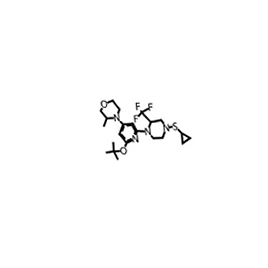 CC1COCCN1c1cc(OC(C)(C)C)nc(N2CCN(SC3CC3)CC2C(F)(F)F)c1